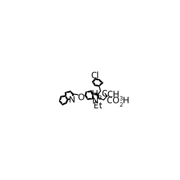 CCn1c(CC(C)(C)C(=O)O)c(Cc2ccc(Cl)cc2)c2ccc(OCc3ccc4ccccc4n3)cc21